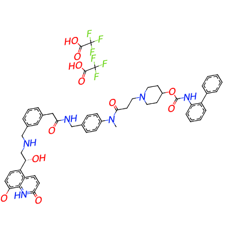 CN(C(=O)CCN1CCC(OC(=O)Nc2ccccc2-c2ccccc2)CC1)c1ccc(CNC(=O)Cc2cccc(CNC[C@H](O)c3ccc(O)c4[nH]c(=O)ccc34)c2)cc1.O=C(O)C(F)(F)F.O=C(O)C(F)(F)F